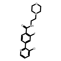 O=C(NCCN1CCOCC1)c1ccc(-c2ncccc2Cl)cc1F